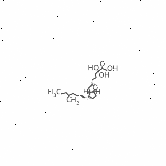 C=C(CCC)CCC=C[C@H]1CC[C@H]2O[C@@H](CCCC(O)(O)C(=O)CO)C[C@H]12